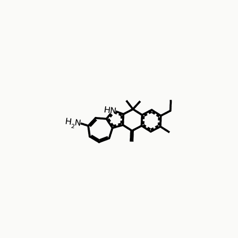 C=C1c2cc(C)c(CC)cc2C(C)(C)c2[nH]c3c(c21)C=C=CC(N)=C3